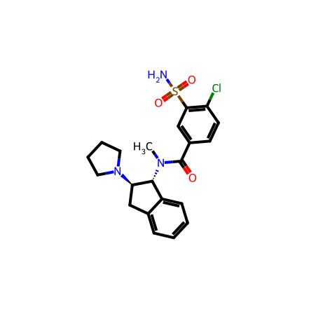 CN(C(=O)c1ccc(Cl)c(S(N)(=O)=O)c1)[C@@H]1c2ccccc2C[C@H]1N1CCCC1